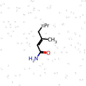 CCCC/C(C)=C/C(N)=O